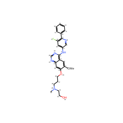 COc1cc2c(Nc3cnc(-c4ccccc4)c(F)c3)ncnc2cc1OCCCN(C)CCO